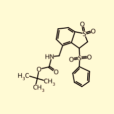 CC(C)(C)OC(=O)NCc1cccc2c1C(S(=O)(=O)c1ccccc1)CS2(=O)=O